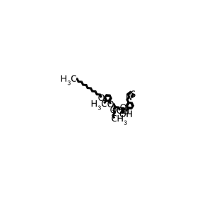 CCCCCCCCCCCCOc1cccc(OCC(COP(=O)(O)Oc2cccc(C[n+]3ccsc3)c2)OCCC)c1C